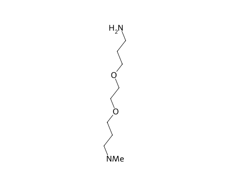 CNCCCOCCOCCCN